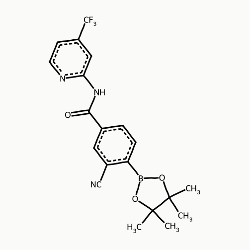 CC1(C)OB(c2ccc(C(=O)Nc3cc(C(F)(F)F)ccn3)cc2C#N)OC1(C)C